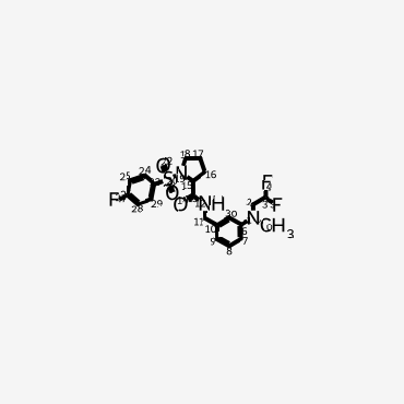 CN(CC(F)F)c1cccc(CNC(=O)C2CCCN2S(=O)(=O)c2ccc(F)cc2)c1